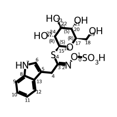 O=S(=O)(O)ON=C(Cc1c[nH]c2ccccc12)S[C@@H]1O[C@H](CO)[C@@H](O)[C@H](O)[C@H]1O